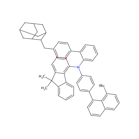 CC(C)(C)c1cccc2cccc(-c3ccc(N(c4ccccc4-c4ccc(CC5C6CC7CC(C6)CC5C7)cc4)c4cccc5c4-c4ccccc4C5(C)C)cc3)c12